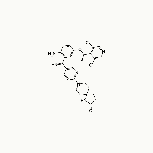 C[C@@H](Oc1ccc(N)c(C(=N)c2ccc(N3CCC4(CCC(=O)N4)CC3)nc2)c1)c1c(Cl)cncc1Cl